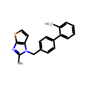 CCCCc1nc2sccc2n1Cc1ccc(-c2ccccc2C(=O)O)cc1